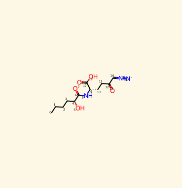 CCCC[C@H](O)C(=O)N[C@@H](CCC(=O)C=[N+]=[N-])C(=O)O